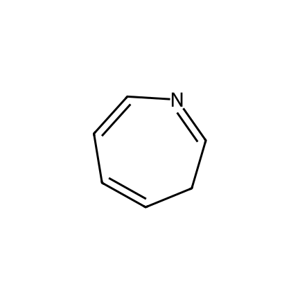 C1=CCC=NC=C1